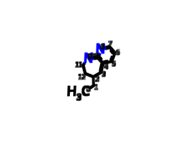 CCC1C=c2cccnc2=NCC1